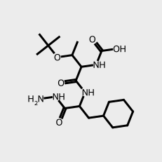 CC(OC(C)(C)C)C(NC(=O)O)C(=O)NC(CC1CCCCC1)C(=O)NN